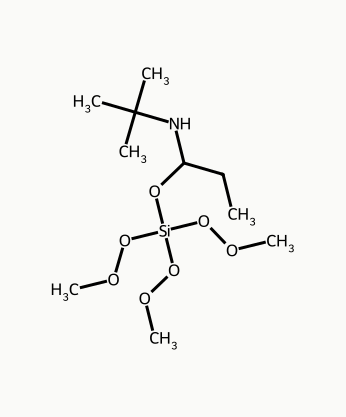 CCC(NC(C)(C)C)O[Si](OOC)(OOC)OOC